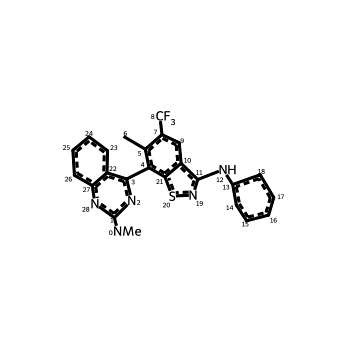 CNc1nc(-c2c(C)c(C(F)(F)F)cc3c(Nc4ccccc4)nsc23)c2ccccc2n1